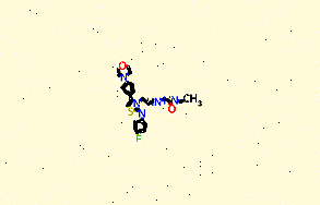 CCNC(=O)CNCCCn1c(-c2ccc(N3CCOCC3)cc2)csc1=Nc1ccc(F)cc1